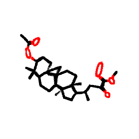 COC(=O)C(=O)C[C@@H](C)[C@H]1CC[C@@]2(C)C3CCC4C(C)(C)[C@@H](OC(C)=O)CC[C@@]45C[C@@]35CC[C@]12C